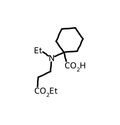 CCOC(=O)CCN(CC)C1(C(=O)O)CCCCC1